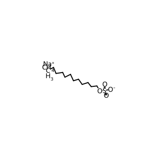 C.CCCCCCCCCCCCOS(=O)(=O)[O-].[Na+]